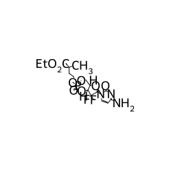 CCOC(=O)[C@@H](C)CCO[P@@]1(=O)OC[C@H]2O[C@@H](n3ccc(N)nc3=O)C(F)(F)[C@@H]2O1